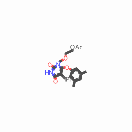 CC(=O)OCCOCn1c(Oc2cc(C)cc(C)c2)c(C(C)C)c(=O)[nH]c1=O